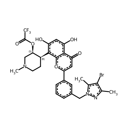 Cc1nn(Cc2cccc(-c3cc(=O)c4c(O)cc(O)c([C@H]5CCN(C)C[C@H]5OC(=O)C(F)(F)F)c4o3)c2)c(C)c1Br